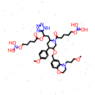 COCCCN1CCOc2ccc(COC3CN(C(=O)CCCCON(O)O)C(CC(OC(=O)CCCCON(O)O)c4nnn[nH]4)CC3c3ccc(OC)cc3)cc21